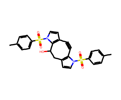 Cc1ccc(S(=O)(=O)n2ccc3c2C#Cc2ccn(S(=O)(=O)c4ccc(C)cc4)c2C(O)C3)cc1